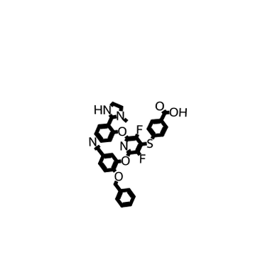 CN1CCNC1c1ccccc1Oc1nc(Oc2cc(C#N)ccc2OCc2ccccc2)c(F)c(Sc2ccc(C(=O)O)cc2)c1F